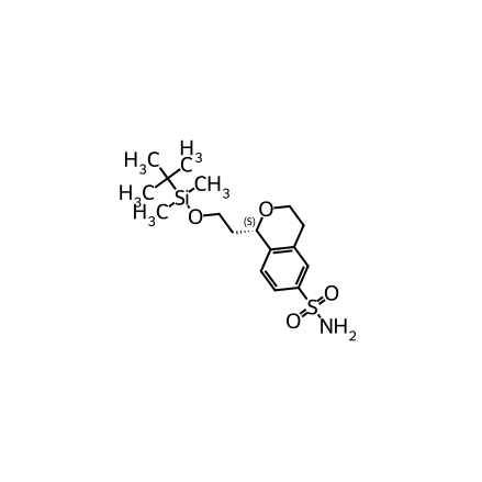 CC(C)(C)[Si](C)(C)OCC[C@@H]1OCCc2cc(S(N)(=O)=O)ccc21